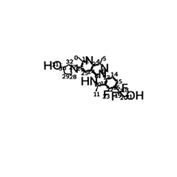 Cc1nc2c(C)nnc(N[C@H](C)c3cccc(C(F)(F)CO)c3F)c2cc1N1CC[C@H](O)C1